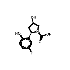 O=C(O)N1C[C@H](O)C[C@@H]1c1cc(F)ccc1O